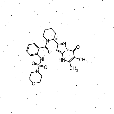 Cc1[nH]c2cc([C@@H]3CCCCN3C(=O)c3ccccc3NS(=O)(=O)N3CCOCC3)nn2c(=O)c1C